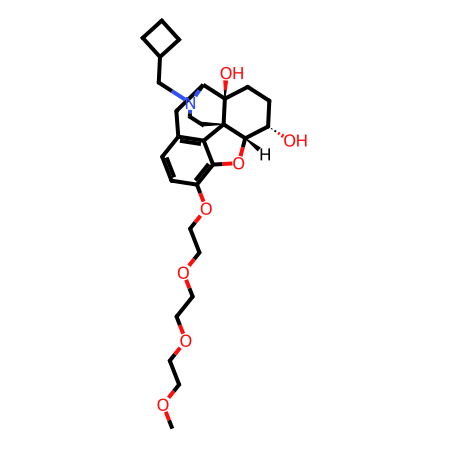 COCCOCCOCCOc1ccc2c3c1O[C@H]1[C@@H](O)CC[C@@]4(O)C(C2)N(CC2CCC2)CC[C@]314